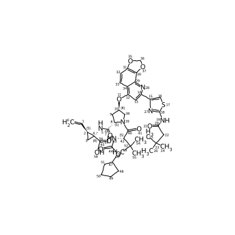 C=C[C@@H]1C[C@]1(NC(=O)[C@@H]1C[C@@H](Oc2cc(-c3csc(NC(=O)CC(C)(C)C)n3)nc3c4c(ccc23)OCO4)CN1C(=O)[C@@H](NC(=O)OC1CCCC1)C(C)(C)C)C(=O)O